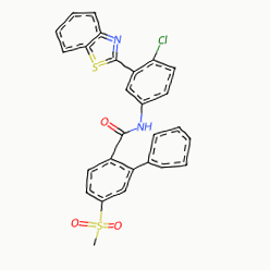 CS(=O)(=O)c1ccc(C(=O)Nc2ccc(Cl)c(-c3nc4ccccc4s3)c2)c(-c2ccccc2)c1